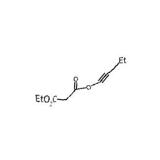 CCC#COC(=O)CC(=O)OCC